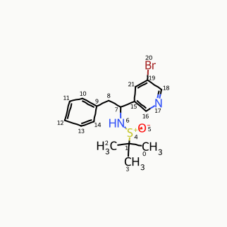 CC(C)(C)[S@+]([O-])NC(Cc1ccccc1)c1cncc(Br)c1